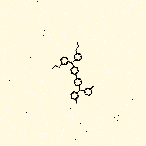 CCOc1cccc(N(c2ccc(-c3ccc(N(c4cccc(C)c4)c4cccc(C)c4)cc3)cc2)c2cccc(OCC)c2)c1